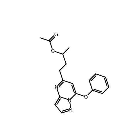 CC(=O)OC(C)CCc1cc(Oc2ccccc2)n2nccc2n1